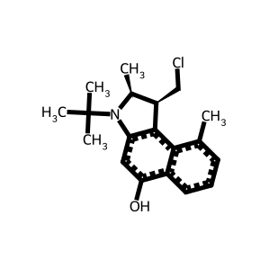 Cc1cccc2c(O)cc3c(c12)[C@H](CCl)[C@H](C)N3C(C)(C)C